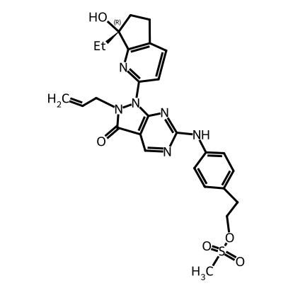 C=CCn1c(=O)c2cnc(Nc3ccc(CCOS(C)(=O)=O)cc3)nc2n1-c1ccc2c(n1)[C@@](O)(CC)CC2